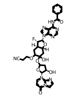 N#CCCOC1C[C@H]2[C@H](F)[C@H](n3cnc4c(NC(=O)c5ccccc5)ncnc43)O[C@@H]2CC1(O)OC1C[C@@H](O)[C@H](n2ccc(=O)n3ccnc23)O1